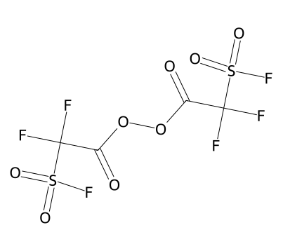 O=C(OOC(=O)C(F)(F)S(=O)(=O)F)C(F)(F)S(=O)(=O)F